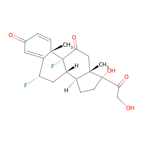 C[C@]12C=CC(=O)C=C1[C@@H](F)C[C@H]1[C@@H]3CC[C@](O)(C(=O)CO)[C@@]3(C)CC(=O)[C@@]12F